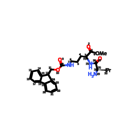 COC(=O)[C@H](CCCNC(=O)OCC1c2ccccc2-c2ccccc21)NC(=O)[C@@H](N)C(C)C